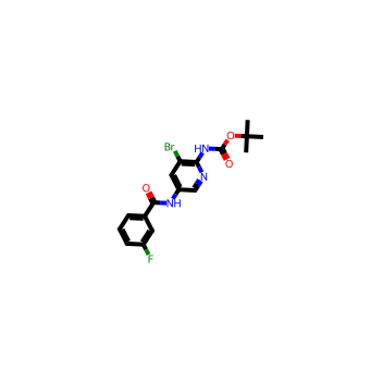 CC(C)(C)OC(=O)Nc1ncc(NC(=O)c2cccc(F)c2)cc1Br